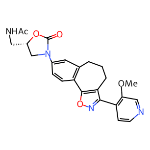 COc1cnccc1-c1noc2c1CCCc1cc(N3C[C@H](CNC(C)=O)OC3=O)ccc1-2